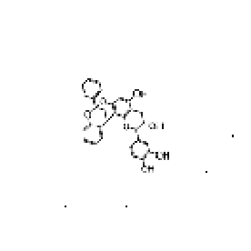 Oc1ccc([C@H]2Oc3c(c(O)cc4c3C3CC(c5ccccc5)(Oc5ccccc53)O4)C[C@@H]2O)cc1O